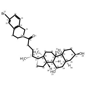 C[C@H](CCC(=O)N1CCc2cc(Br)ccc2C1)[C@H]1CC[C@H]2[C@@H]3[C@@H](O)C[C@@H]4C[C@H](O)CC[C@]4(C)[C@H]3CC[C@]12C